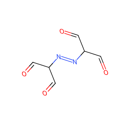 O=CC(C=O)N=NC(C=O)C=O